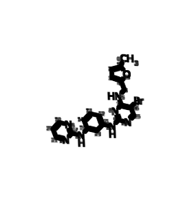 Cc1ccc(CNc2nc(Nc3cccc(Nc4ncccn4)c3)ncc2Br)o1